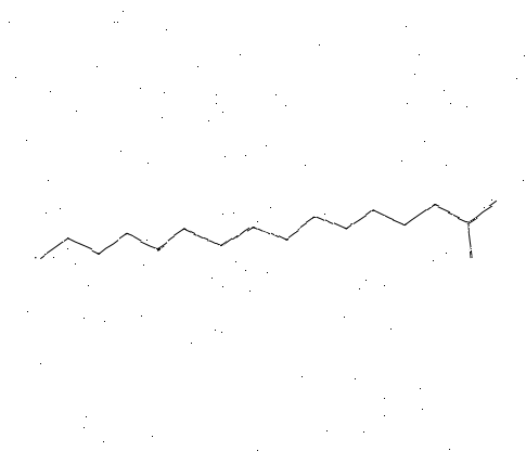 [CH2]CCCCCCCCCCCCCC(C)C